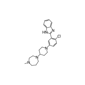 CN1CCCN(C2CCN(c3ccc(Cl)c(-c4nc5ccccc5[nH]4)c3)CC2)CC1